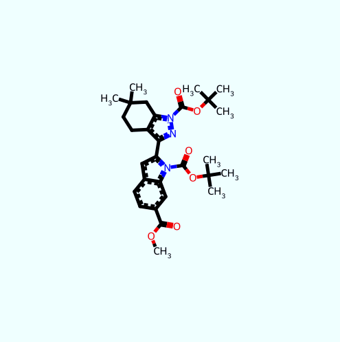 COC(=O)c1ccc2cc(-c3nn(C(=O)OC(C)(C)C)c4c3CCC(C)(C)C4)n(C(=O)OC(C)(C)C)c2c1